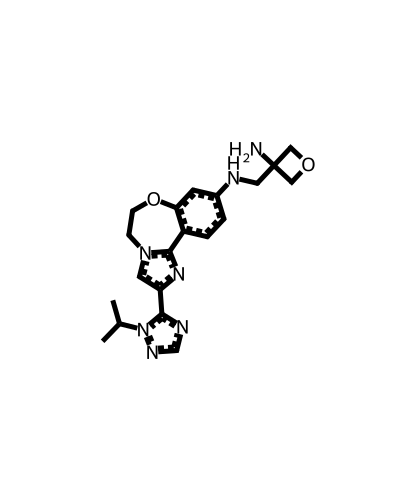 CC(C)n1ncnc1-c1cn2c(n1)-c1ccc(NCC3(N)COC3)cc1OCC2